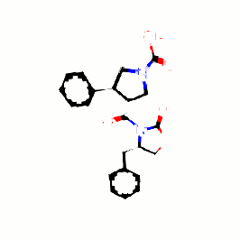 O=C(O)N1C[C@H](C(=O)N2C(=O)OC[C@H]2Cc2ccccc2)[C@@H](c2ccccc2)C1